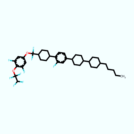 CCCCCC1CCC(C2CCC(c3ccc(C4CCC(C(F)(F)Oc5cc(F)c(OC(F)(F)C(F)F)c(F)c5)CC4)c(F)c3)CC2)CC1